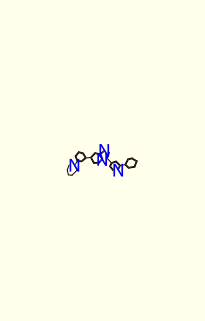 c1ccc(-c2cc(-c3cnc4cc(-c5cccc(N6CCCCC6)c5)ccn34)ccn2)cc1